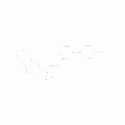 Nc1ccc(-c2cccc(NC(=O)C3(c4ccc5c(c4)OCCO5)CC3)n2)cc1